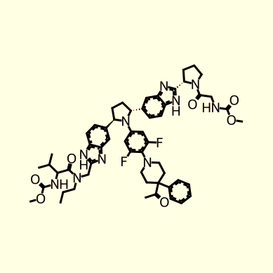 CCCN(Cc1nc2cc([C@H]3CC[C@H](c4ccc5[nH]c([C@@H]6CCCN6C(=O)CNC(=O)OC)nc5c4)N3c3cc(F)c(N4CCC(C(C)=O)(c5ccccc5)CC4)c(F)c3)ccc2[nH]1)C(=O)C(NC(=O)OC)C(C)C